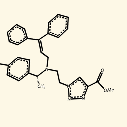 COC(=O)c1cn(CCN(CC=C(c2ccccc2)c2ccccc2)[C@H](C)c2ccc(F)cc2)nn1